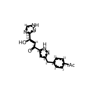 CC(=O)c1ccc(Cc2cc(C(=O)C=C(O)c3nc[nH]n3)[nH]n2)cc1